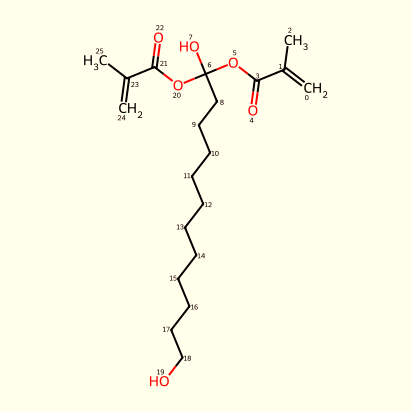 C=C(C)C(=O)OC(O)(CCCCCCCCCCCO)OC(=O)C(=C)C